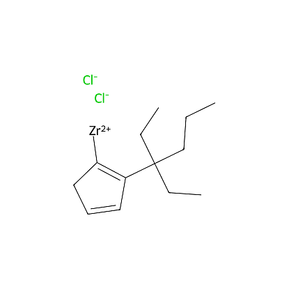 CCCC(CC)(CC)C1=[C]([Zr+2])CC=C1.[Cl-].[Cl-]